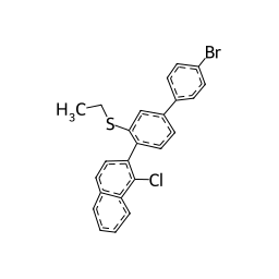 CCSc1cc(-c2ccc(Br)cc2)ccc1-c1ccc2ccccc2c1Cl